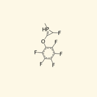 C[PH]1=C(Oc2c(F)c(F)c(F)c(F)c2F)C1F